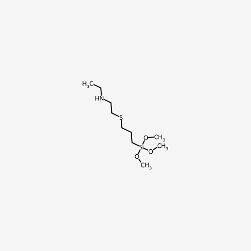 CCNCCSCCC[Si](OC)(OC)OC